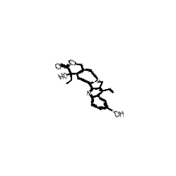 CCc1c2c(nc3ccc(O)cc13)C1=CC3=C(COC(=O)C3(O)CC)CN1C2